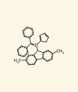 Cc1ccc2c(c1)[CH]([Zr]([C]1=CC=CC1)=[C](c1ccccc1)c1ccccc1)c1cc(C)ccc1-2